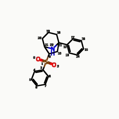 O=S(=O)(c1ccccc1)C1CC2(c3ccccc3)CCCC1N2